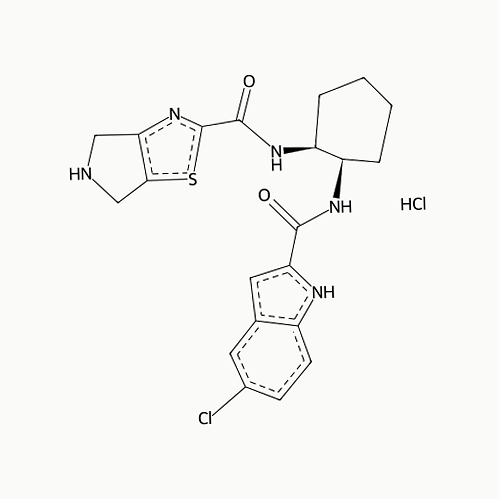 Cl.O=C(N[C@@H]1CCCC[C@@H]1NC(=O)c1nc2c(s1)CNC2)c1cc2cc(Cl)ccc2[nH]1